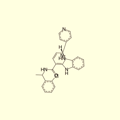 CC(NC(=O)C1=C2Nc3ccccc3C23NCN(c2ccncc2)[C@@H]3C=C1)c1ccccc1Cl